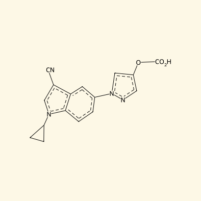 N#Cc1cn(C2CC2)c2ccc(-n3cc(OC(=O)O)cn3)cc12